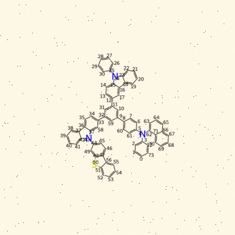 c1ccc(N(c2ccc(-c3cc(-c4ccc5c(c4)c4ccccc4n5-c4ccccc4)cc(-c4ccc5c6ccccc6n(-c6ccc7c(c6)sc6ccccc67)c5c4)c3)cc2)c2cccc3ccccc23)cc1